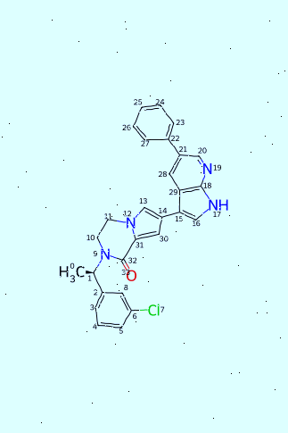 C[C@H](c1cccc(Cl)c1)N1CCn2cc(-c3c[nH]c4ncc(-c5ccccc5)cc34)cc2C1=O